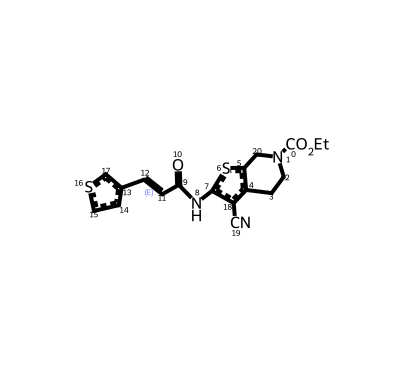 CCOC(=O)N1CCc2c(sc(NC(=O)/C=C/c3ccsc3)c2C#N)C1